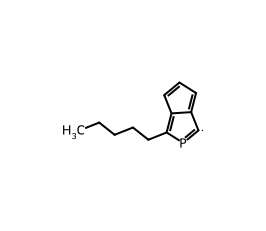 CCCCCC1=C2C=CC=C2[C]=P1